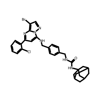 O=C(NCc1ccc(CNc2cc(-c3ccccc3Cl)nc3c(Br)cnn23)cc1)NC12CC3CC(CC(C3)C1)C2